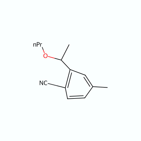 CCCOC(C)c1cc(C)ccc1C#N